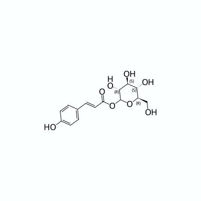 O=C(C=Cc1ccc(O)cc1)OC1O[C@H](CO)[C@@H](O)[C@H](O)[C@H]1O